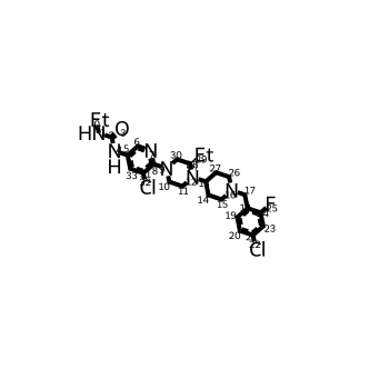 CCNC(=O)Nc1cnc(N2CCN(C3CCN(Cc4ccc(Cl)cc4F)CC3)[C@@H](CC)C2)c(Cl)c1